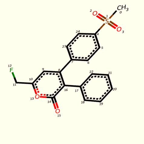 CS(=O)(=O)c1ccc(-c2cc(CF)oc(=O)c2-c2ccccc2)cc1